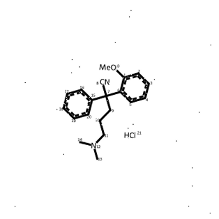 COc1ccccc1C(C#N)(CCCN(C)C)c1ccccc1.Cl